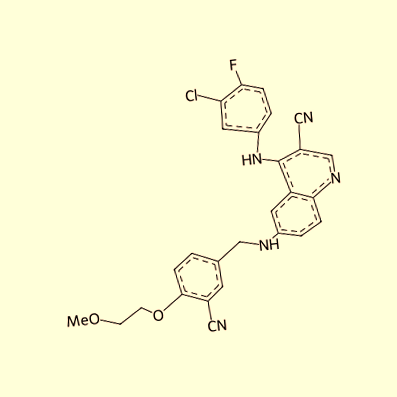 COCCOc1ccc(CNc2ccc3ncc(C#N)c(Nc4ccc(F)c(Cl)c4)c3c2)cc1C#N